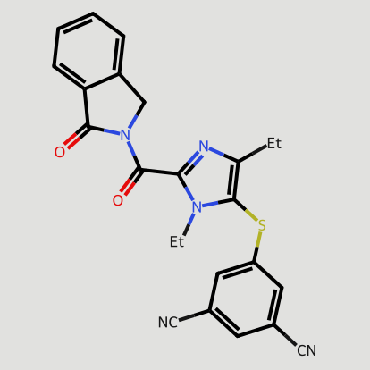 CCc1nc(C(=O)N2Cc3ccccc3C2=O)n(CC)c1Sc1cc(C#N)cc(C#N)c1